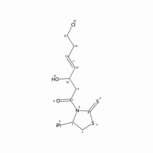 CC(C)C1CSC(=S)N1C(=O)CC(O)/C=C/CCCl